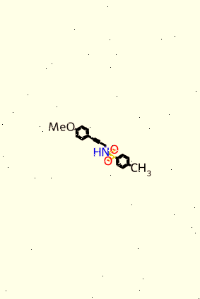 COc1ccc(C#CCNS(=O)(=O)c2ccc(C)cc2)cc1